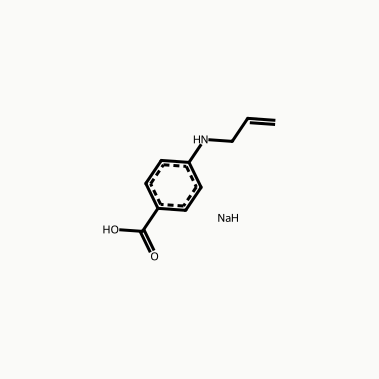 C=CCNc1ccc(C(=O)O)cc1.[NaH]